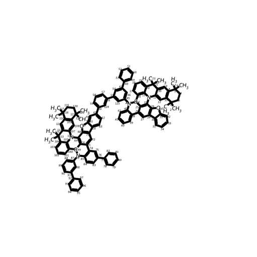 CC1(C)CCC(C)(C)c2cc3c(cc21)N1c2c(cccc2C3(C)C)B2c3c(cc4c(oc5ccccc54)c31)-c1ccccc1N2c1cc(-c2ccccc2)cc(-c2cccc(-c3ccc4c(c3)oc3c5c6c(cc34)-c3cc(-c4ccccc4)ccc3N(c3cccc(-c4ccccc4)c3)B6c3cccc4c3N5c3cc5c(cc3C4(C)C)C(C)(C)CCC5(C)C)c2)c1